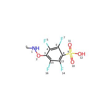 CNOc1c(F)c(F)c(S(=O)(=O)O)c(F)c1F